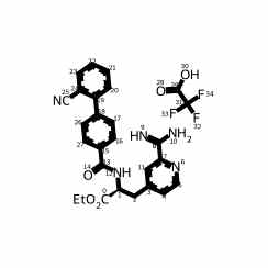 CCOC(=O)[C@H](Cc1ccnc(C(=N)N)c1)NC(=O)c1ccc(-c2ccccc2C#N)cc1.O=C(O)C(F)(F)F